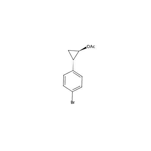 CC(=O)O[C@@H]1C[C@H]1c1ccc(Br)cc1